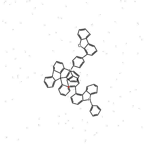 c1ccc(-n2c3ccccc3c3c(-c4ccc(N(c5ccc(-c6cccc7c6oc6ccccc67)cc5)c5cccc6c5C(c5ccccc5)(c5ccccc5)c5ccccc5-6)cc4)cccc32)cc1